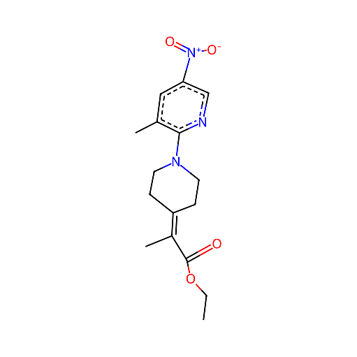 CCOC(=O)C(C)=C1CCN(c2ncc([N+](=O)[O-])cc2C)CC1